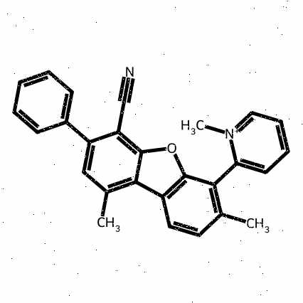 Cc1ccc2c(oc3c(C#N)c(-c4ccccc4)cc(C)c32)c1-c1cccc[n+]1C